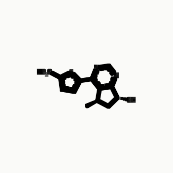 C[C@@H]1C[C@@H](O)c2ncnc(-c3ccc(C(=O)O)s3)c21